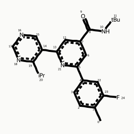 Cc1ccc(-c2cc(C(=O)NC(C)(C)C)cc(-c3cncnc3C(C)C)n2)cc1F